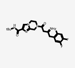 CC(C)(C)NC(=O)c1cn2c(n1)CN(C(=O)CC(=N)Cc1cc(F)c(F)cc1F)CC2